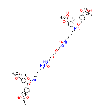 CC(C)(O)C(=O)c1ccc(COC(=O)N(CCCCCCNC(=O)NCCOCCOCCNC(=O)NCCCCCCNC(=O)OC(c2ccc(C(=O)C(C)(C)O)cc2)c2ccc(C(=O)C(C)(C)O)cc2)c2ccc(C(=O)C(C)(C)O)cc2)cc1